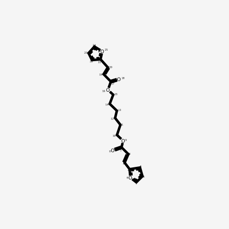 O=C(C=Cc1ccco1)OCCCCCCOC(=O)C=Cc1ccco1